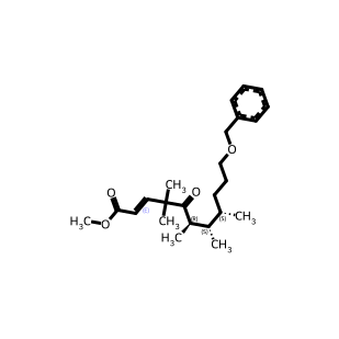 COC(=O)/C=C/C(C)(C)C(=O)[C@H](C)[C@@H](C)[C@@H](C)CCCOCc1ccccc1